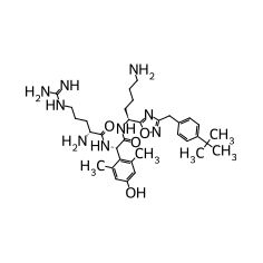 Cc1cc(O)cc(C)c1[C@H](NC(=O)[C@H](N)CCCNC(=N)N)C(=O)N[C@@H](CCCCN)c1nc(Cc2ccc(C(C)(C)C)cc2)no1